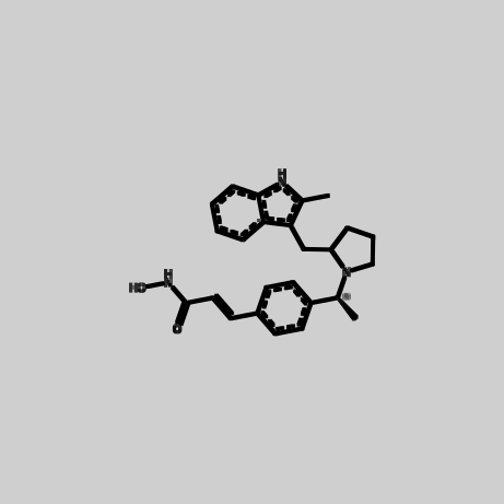 Cc1[nH]c2ccccc2c1CC1CCCN1[C@@H](C)c1ccc(C=CC(=O)NO)cc1